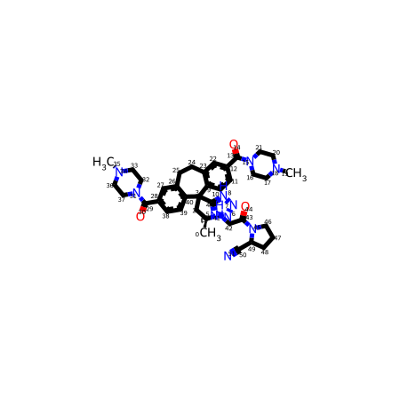 C[C@@H](CC1(c2nnn[nH]2)c2ccc(C(=O)N3CCN(C)CC3)cc2CCc2cc(C(=O)N3CCN(C)CC3)ccc21)NCC(=O)N1CCCC1C#N